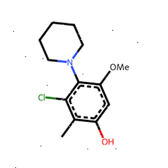 COc1cc(O)c(C)c(Cl)c1N1CCCCC1